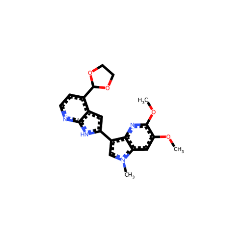 COc1cc2c(nc1OC)c(-c1cc3c(C4OCCO4)ccnc3[nH]1)cn2C